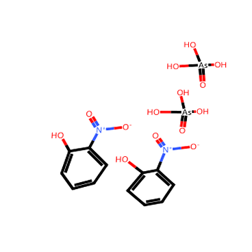 O=[As](O)(O)O.O=[As](O)(O)O.O=[N+]([O-])c1ccccc1O.O=[N+]([O-])c1ccccc1O